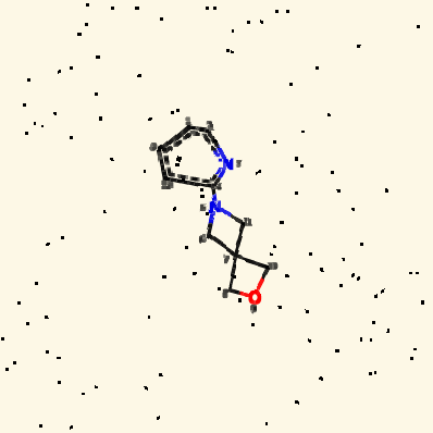 [c]1ccnc(N2CC3(COC3)C2)c1